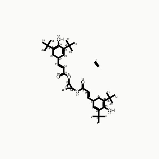 C=C.CC(C)(C)C1=CC(C=CC(=O)OC2SC2OC(=O)C=CC2C=C(C(C)(C)C)C(O)=C(C(C)(C)C)C2)CC(C(C)(C)C)=C1O